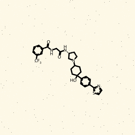 O=C(CNC(=O)c1cccc(C(F)(F)F)c1)N[C@@H]1CCN(C2CCC(O)(c3ccc(-c4nccs4)cc3)CC2)C1